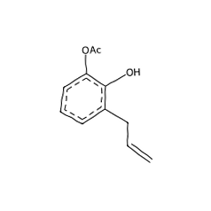 C=CCc1cccc(OC(C)=O)c1O